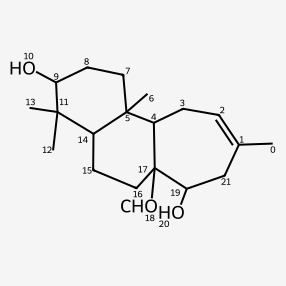 CC1=CCC2C3(C)CCC(O)C(C)(C)C3CCC2(C=O)C(O)C1